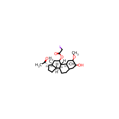 COC1C[C@@]2(C)C(CC[C@H]3[C@@H]4CC[C@H](C(C)=O)[C@@]4(C)CC(OC(=O)CI)[C@@H]32)CC1O